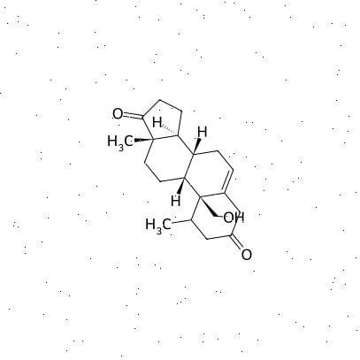 CC1CC(=O)CC2=CC[C@@H]3[C@@H](CC[C@]4(C)C(=O)CC[C@@H]34)[C@]21CO